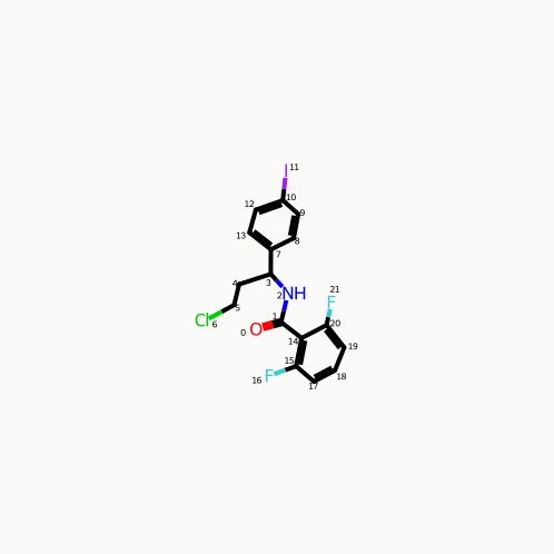 O=C(NC(CCCl)c1ccc(I)cc1)c1c(F)cccc1F